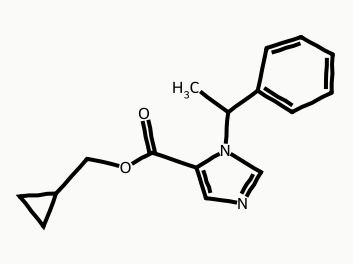 CC(c1ccccc1)n1cncc1C(=O)OCC1CC1